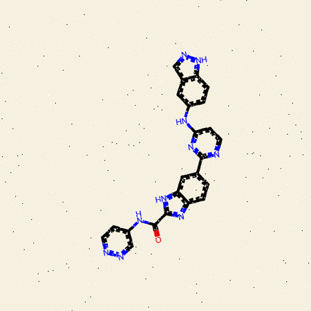 O=C(Nc1ccnnc1)c1nc2ccc(-c3nccc(Nc4ccc5[nH]ncc5c4)n3)cc2[nH]1